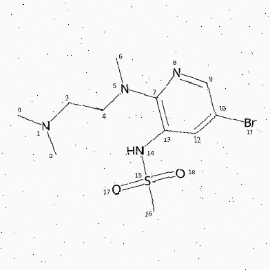 CN(C)CCN(C)c1ncc(Br)cc1NS(C)(=O)=O